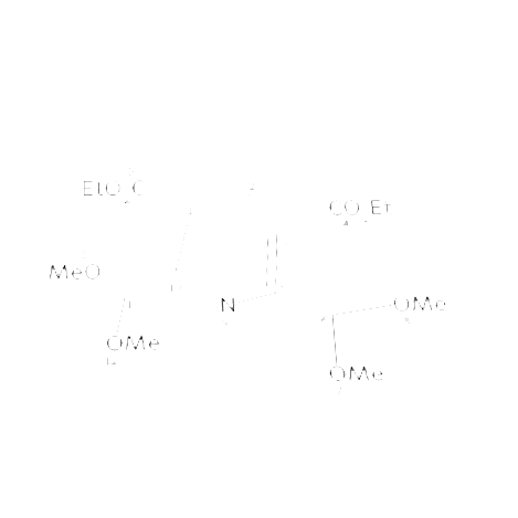 CCOC(=O)c1cc(C(=O)OCC)c(C(OC)OC)nc1C(OC)OC